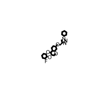 O=c1c(Oc2ccccc2F)coc2cc(OCc3cn(-c4ccccc4)nn3)ccc12